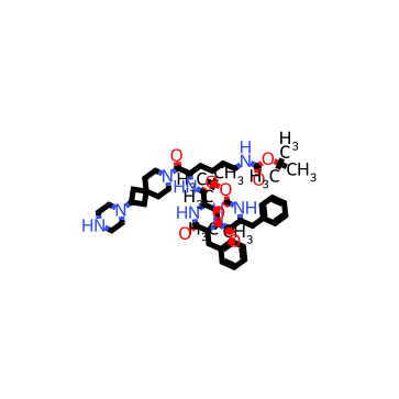 CC(C)CC(NC(=O)C(Cc1ccccc1)NC(=O)C(Cc1ccccc1)NC(=O)OC(C)(C)C)C(=O)NC(CCCCNC(=O)OC(C)(C)C)C(=O)N1CCC2(CC1)CC(N1CCNCC1)C2